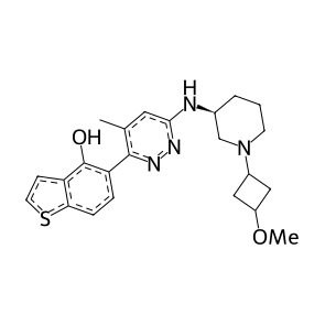 COC1CC(N2CCC[C@H](Nc3cc(C)c(-c4ccc5sccc5c4O)nn3)C2)C1